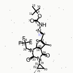 Cc1c(/C=N/NC(=O)OC(C)(C)C)sc2c1c(=O)n([C@H]1C[C@@H]1C)c(=O)n2CC(F)(F)F